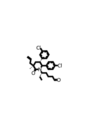 C=CC[C@@]1(C)C[C@H](c2cccc(Cl)c2)C(c2ccc(Cl)cc2)N([C@@H](CC)CCCC=O)C1=O